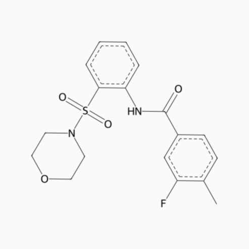 Cc1ccc(C(=O)Nc2ccccc2S(=O)(=O)N2CCOCC2)cc1F